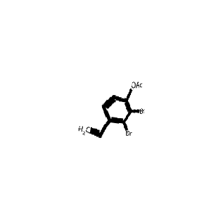 C=Cc1ccc(OC(C)=O)c(Br)c1Br